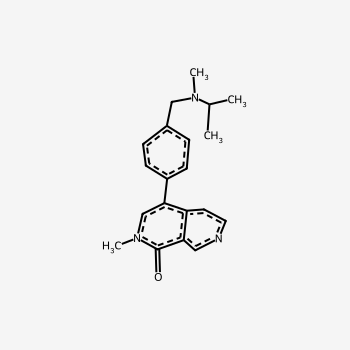 CC(C)N(C)Cc1ccc(-c2cn(C)c(=O)c3cnccc23)cc1